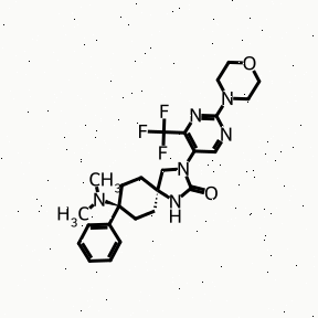 CN(C)[C@]1(c2ccccc2)CC[C@]2(CC1)CN(c1cnc(N3CCOCC3)nc1C(F)(F)F)C(=O)N2